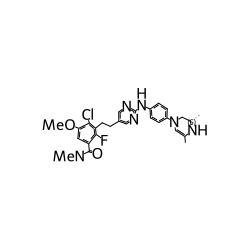 CNC(=O)c1cc(OC)c(Cl)c(CCc2cnc(Nc3ccc(N4C=C(C)N[C@@H](C)C4)cc3)nc2)c1F